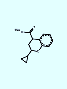 O=C(O)C1CC(C2CC2)Oc2ccccc21.[NaH]